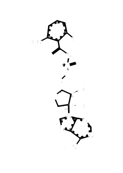 Nc1cccc(F)c1C(=O)NS(=O)(=O)OC[C@H]1OC[C@](O)(n2cnc3c(N)ncnc32)[C@@H]1O